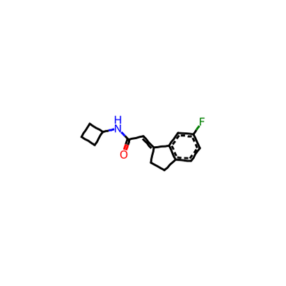 O=C(C=C1CCc2ccc(F)cc21)NC1CCC1